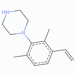 C=Cc1ccc(C)c(N2CCNCC2)c1C